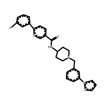 O=C(NC1CCN(Cc2cccc(-n3cccn3)c2)CC1)c1ccc(-c2cccc(F)c2)nc1